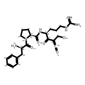 N=C(N)NCCC[C@H](NC(=O)[C@@H]1CCCN1C(=O)[C@H](N)Cc1ccccc1)C(=O)C(=C=O)CCl